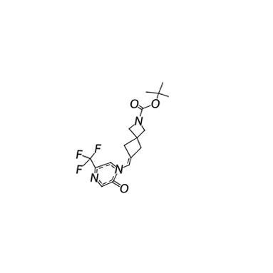 CC(C)(C)OC(=O)N1CC2(CC(=Cn3cc(C(F)(F)F)ncc3=O)C2)C1